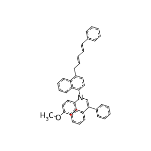 COc1ccc(N(C=C(c2ccccc2)c2ccccc2)c2ccc(C/C=C/C=C/c3ccccc3)c3ccccc23)cc1